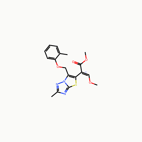 CO/C=C(/C(=O)OC)c1sc2nc(C)nn2c1COc1ccccc1C